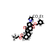 CCOC(=O)[C@@H]1CCN([C@H]2CC[C@@]3(C)C(CC[C@]4(C)[C@@H]3C(=O)C=C3[C@@H]5C[C@@](C)(C(=O)OCC[Si](C)(C)C)CC[C@]5(C)CC[C@]34C)[C@]2(C)C(=O)OCc2ccccc2)C1